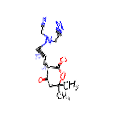 CC1(C)CC(=O)/C(=C/C=C/N(CC#N)CC#N)C(=O)O1